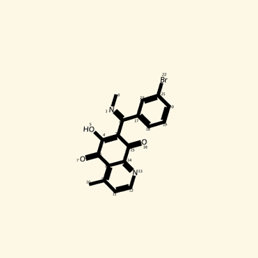 CN=C(C1=C(O)C(=O)c2c(C)ccnc2C1=O)c1cccc(Br)c1